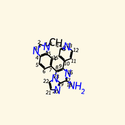 Cn1cnc2ccc(-c3c(-c4ccncc4)nc(N)c4nccn34)cc21